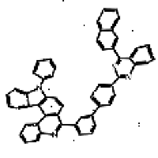 c1ccc(-n2c3ccccc3c3c4c(ccc32)c(-c2cccc(-c3ccc(-c5nc(-c6ccc7ccccc7c6)c6ccccc6n5)cc3)c2)nc2ccccc24)cc1